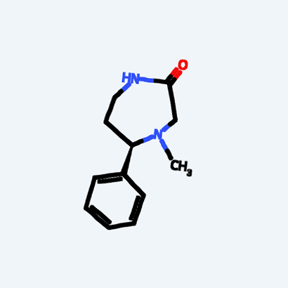 CN1CC(=O)NCC[C@@H]1c1ccccc1